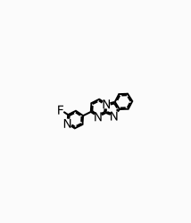 Fc1cc(-c2ccn3c(n2)nc2ccccc23)ccn1